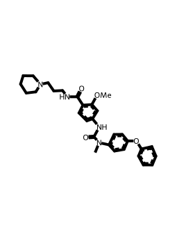 COc1cc(NC(=O)N(C)c2ccc(Oc3ccccc3)cc2)ccc1C(=O)NCCCN1CCCCC1